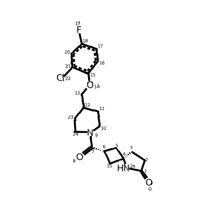 O=C1CC[C@]2(C[C@@H](C(=O)N3CCC(COc4ccc(F)cc4Cl)CC3)C2)N1